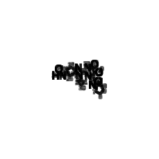 COc1c(-c2nc3ccccc3o2)nc(-c2nc3ccc(NC(C)=O)cc3n2C2CCC2)n(C)c1=O